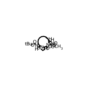 CC(C)(C)OC(=O)N[C@H]1CCCCC/C=C\[C@@H]2C[C@@]2(C(=O)NS(C)(=O)=O)NC(=O)[C@@H]2CCCN2C1=O